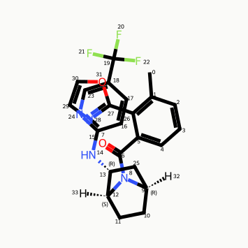 Cc1cccc(C(=O)N2[C@@H]3CC[C@H]2[C@H](Nc2ccc(C(F)(F)F)cn2)C3)c1-c1ncco1